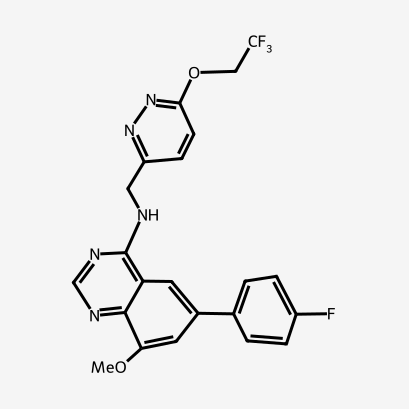 COc1cc(-c2ccc(F)cc2)cc2c(NCc3ccc(OCC(F)(F)F)nn3)ncnc12